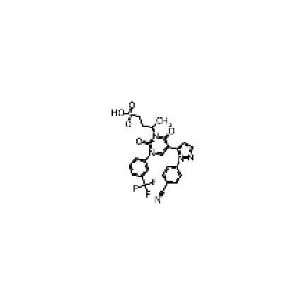 CC(CCS(=O)(=O)O)n1c(=O)c(-c2ccnn2-c2ccc(C#N)cc2)cn(-c2cccc(C(F)(F)F)c2)c1=O